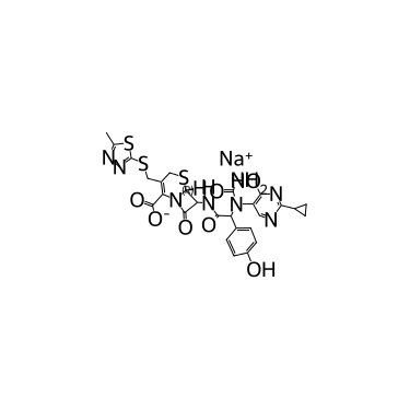 Cc1nnc(SCC2=C(C(=O)[O-])N3C(=O)C(NC(=O)C(c4ccc(O)cc4)N(C(N)=O)c4cnc(C5CC5)nc4O)[C@H]3SC2)s1.[Na+]